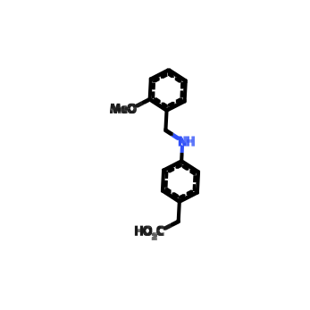 COc1ccccc1CNc1ccc(CC(=O)O)cc1